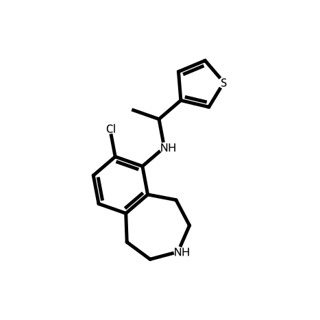 CC(Nc1c(Cl)ccc2c1CCNCC2)c1ccsc1